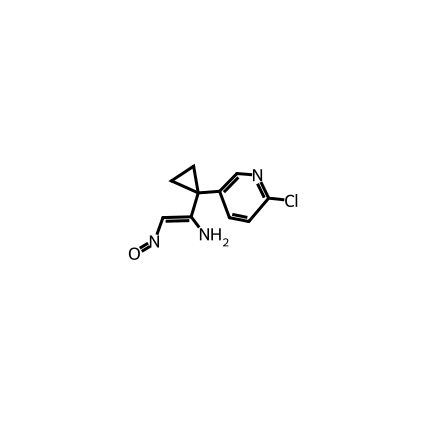 N/C(=C\N=O)C1(c2ccc(Cl)nc2)CC1